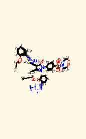 CCOc1ccccc1N.CCOc1ccccc1NC=C1C(=O)N(c2ccc(S(=O)(=O)N3CCOCC3)cc2)N=C1C